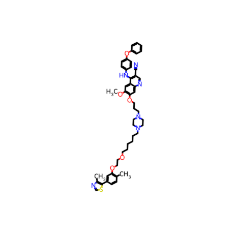 COc1cc2c(Nc3ccc(Oc4ccccc4)cc3)c(C#N)cnc2cc1OCCCN1CCN(CCCCCCOCCOc2cc(-c3scnc3C)ccc2C)CC1